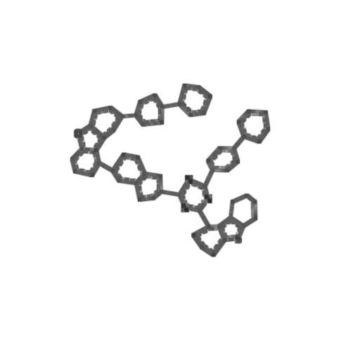 C1=Cc2sc3cccc(-c4nc(-c5ccc(-c6ccccc6)cc5)nc(-c5ccc6cc(-c7cccc8oc9ccc(-c%10ccc(-c%11ccccc%11)cc%10)cc9c78)ccc6c5)n4)c3c2CC1